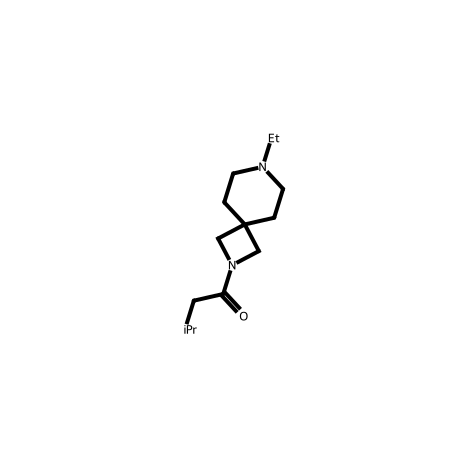 CCN1CCC2(CC1)CN(C(=O)CC(C)C)C2